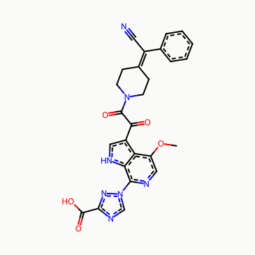 COc1cnc(-n2cnc(C(=O)O)n2)c2[nH]cc(C(=O)C(=O)N3CCC(=C(C#N)c4ccccc4)CC3)c12